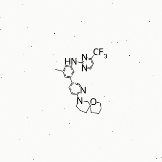 Cc1cc(Nc2nccc(C(F)(F)F)n2)cc(-c2ccc(N3CCCC4(CCCCO4)C3)nc2)c1